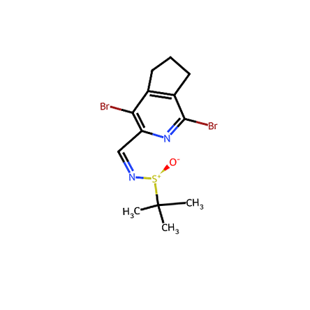 CC(C)(C)[S@+]([O-])/N=C\c1nc(Br)c2c(c1Br)CCC2